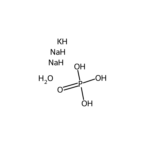 O.O=P(O)(O)O.[KH].[NaH].[NaH]